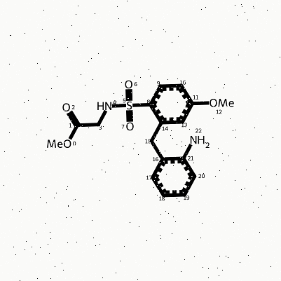 COC(=O)CNS(=O)(=O)c1ccc(OC)cc1Cc1ccccc1N